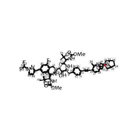 COC(=O)NC(C(=O)N[C@@H](Cc1ccc(C#Cc2ccc(N3CC4CCC(C3)N4C3COC3)nc2C)cc1)[C@@H](O)CN(Cc1c(F)cc(-c2ccn(C(F)F)n2)cc1F)NC(=O)[C@@H](NC(=O)OC)C(C)(C)C(F)(F)F)C(C)(C)C(F)(F)F